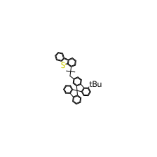 CC(C)(C)c1cccc2c1-c1ccc(CC(C)(C)c3cccc4c3sc3ccccc34)cc1C21c2ccccc2-c2ccccc21